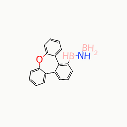 BNBc1cccc2c1-c1ccccc1Oc1ccccc1-2